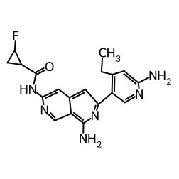 CCc1cc(N)ncc1-c1cc2cc(NC(=O)C3CC3F)ncc2c(N)n1